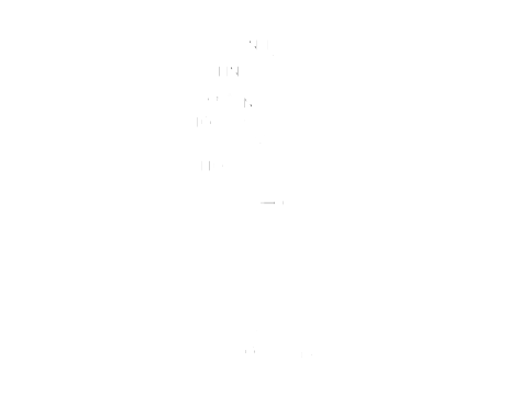 NC1C=CN(C2OC(COC(=O)CCCCCCCC(=O)OCC(Cl)(Cl)Cl)C(O)C2O)C(=O)N1